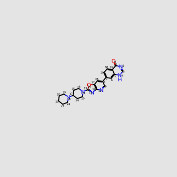 O=c1nc[nH]c2cc(-c3cnc4nc(N5CCC(N6CCCCC6)CC5)oc4c3)ccc12